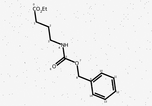 CCOC(=O)CCCNC(=O)OCc1ccccc1